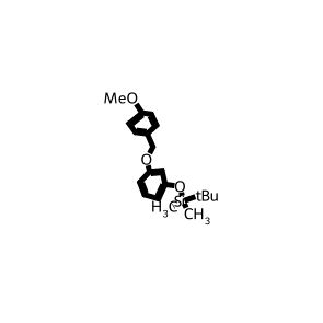 COc1ccc(COc2cccc(O[Si](C)(C)C(C)(C)C)c2)cc1